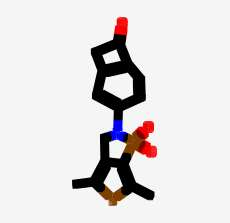 Cc1sc(C)c2c1CN(c1ccc3c(c1)CC3=O)S2(=O)=O